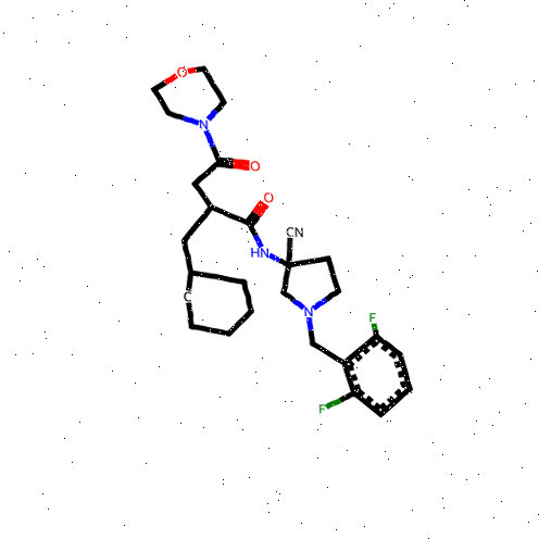 N#CC1(NC(=O)C(CC(=O)N2CCOCC2)CC2CCCCC2)CCN(Cc2c(F)cccc2F)C1